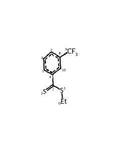 CCSC(=S)c1cccc(C(F)(F)F)c1